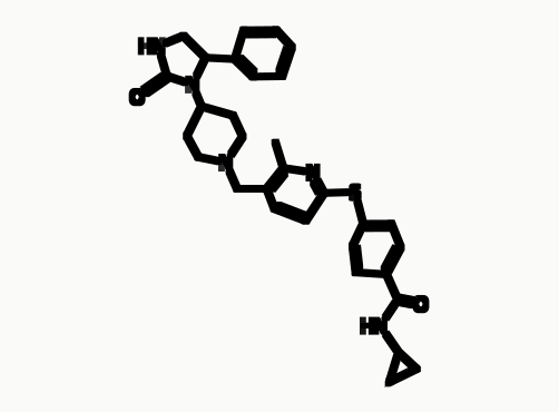 Cc1nc(Sc2ccc(C(=O)NC3CC3)cc2)ccc1CN1CCC(N2C(=O)NCC2c2ccccc2)CC1